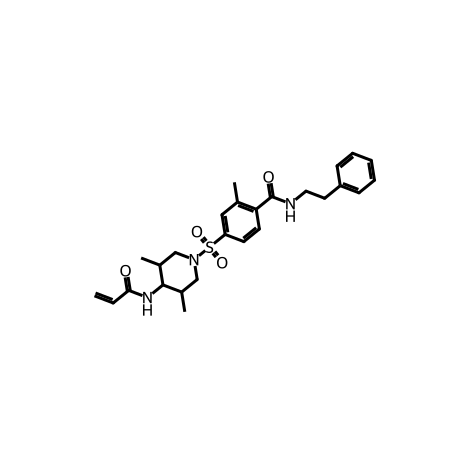 C=CC(=O)NC1C(C)CN(S(=O)(=O)c2ccc(C(=O)NCCc3ccccc3)c(C)c2)CC1C